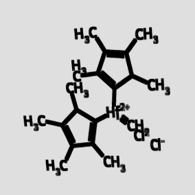 [CH2]=[Hf+2]([C]1=C(C)C(C)=C(C)C1C)[C]1=C(C)C(C)=C(C)C1C.[Cl-].[Cl-]